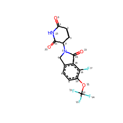 O=C1CCC(N2Cc3ccc(OC(F)(F)F)c(F)c3C2=O)C(=O)N1